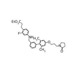 CCOC(=O)CCc1ccc(NCc2cccc(-c3c(C)cc(OCCCN4CCCC4=O)cc3C)c2)cc1F